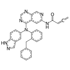 C=C=CC(=O)Nc1cc2c(N(c3ccc4[nH]ncc4c3)c3ccccc3Cc3ccccc3)ncnc2cn1